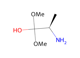 COC(O)(OC)[C@@H](C)N